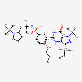 [2H]C([2H])(CC1CCCN1C([2H])([2H])[2H])NS(=O)(=O)c1ccc(OCCC)c(-c2nc3c(C([2H])([2H])CC)nn(C([2H])([2H])[2H])c3c(=O)[nH]2)c1